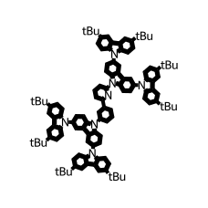 CC(C)(C)c1ccc2c(c1)c1cc(C(C)(C)C)ccc1n2-c1ccc2c(c1)c1cc(-n3c4ccc(C(C)(C)C)cc4c4cc(C(C)(C)C)ccc43)ccc1n2-c1cccc(-c2cccc(-n3c4ccc(-n5c6ccc(C(C)(C)C)cc6c6cc(C(C)(C)C)ccc65)cc4c4cc(-n5c6ccc(C(C)(C)C)cc6c6cc(C(C)(C)C)ccc65)ccc43)n2)c1